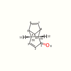 O=C1C=C[C@@H]2C3C=CC(C3)[C@H]12